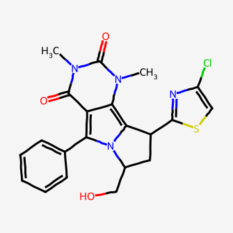 Cn1c(=O)c2c(-c3ccccc3)n3c(c2n(C)c1=O)C(c1nc(Cl)cs1)CC3CO